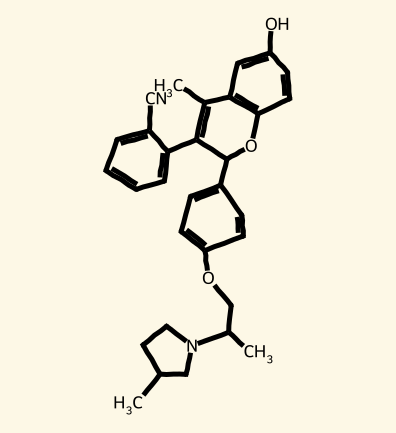 CC1=C(c2ccccc2C#N)C(c2ccc(OCC(C)N3CCC(C)C3)cc2)Oc2ccc(O)cc21